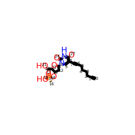 C#CCCCCC#Cc1cn([C@H]2C[C@@H](OP(C)(=O)O)C(CO)O2)c(=O)[nH]c1=O